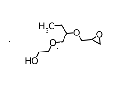 CCC(COCCO)OCC1CO1